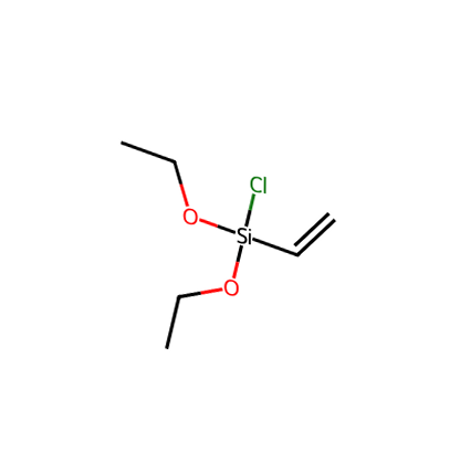 C=C[Si](Cl)(OCC)OCC